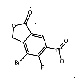 O=C1OCc2c1cc([N+](=O)[O-])c(F)c2Br